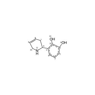 Oc1cccc(C2CC=CCN2)c1O